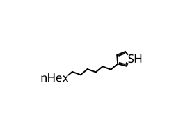 CCCCCCCCCCCCC1=C=[SH]C=C1